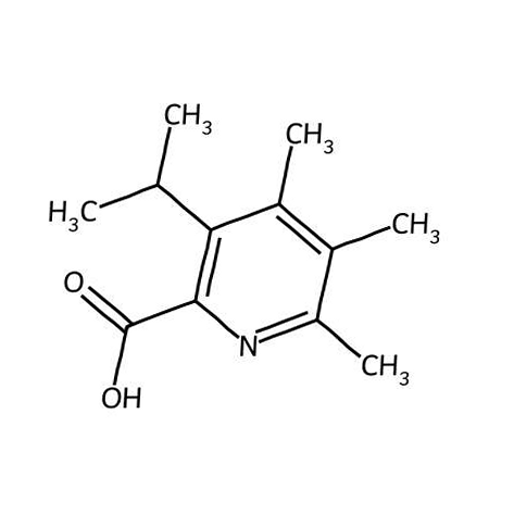 Cc1nc(C(=O)O)c(C(C)C)c(C)c1C